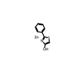 Oc1csc(-c2ccccc2)n1.[Zn]